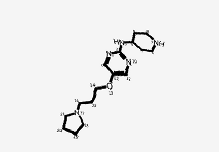 c1nc(NC2CCNCC2)ncc1OCCCN1CCCC1